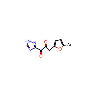 CC(=O)c1ccc(CC(=O)C(=O)c2nc[nH]n2)o1